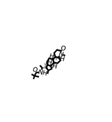 CC1C[C@H]2[C@@H]3CC[C@H]4N(C)C(=O)CC[C@]4(C)[C@H]3CC[C@]2(C)[C@H]1C(C)NC(=O)C(C)(C)C